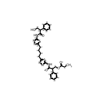 CCC(=O)OCC(C(=O)Nc1nnc(CCCCc2nnc(NC(=O)C(CO)c3ccccc3)s2)s1)c1ccccc1